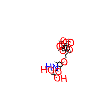 CC(=O)O[C@@H]1[C@@H](OC(C)=O)[C@H](OC(C)=O)CO[C@@H]1CCCCOc1cc(C)c(NC(=O)C(O)C(C)(C)CO)c(C)c1